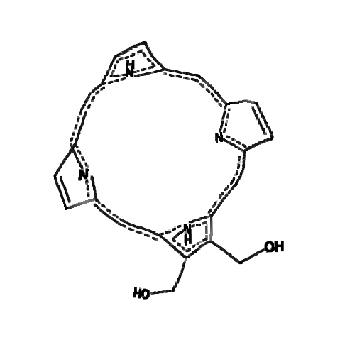 OCc1c(CO)c2cc3nc(cc4ccc(cc5nc(cc1[nH]2)C=C5)[nH]4)C=C3